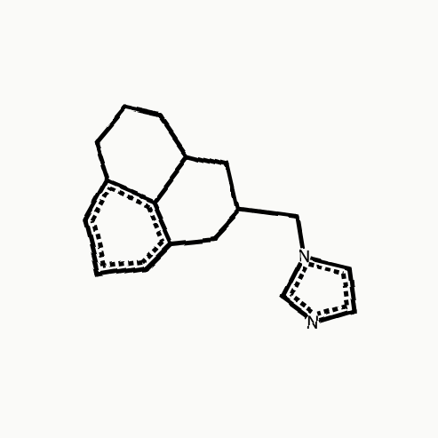 c1cc2c3c(c1)CC(Cn1ccnc1)CC3CCC2